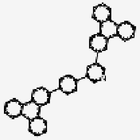 c1ccc2c(c1)c1ccccc1c1cc(-c3ccc(-c4cncc(-c5ccc6c7ccccc7c7ccccc7c6c5)c4)cc3)ccc21